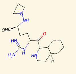 N=C(N)NC(CC[C@@H](C=O)NN1CCC1)C(=O)[C@H]1NCC[C@@H]2CCCCC21